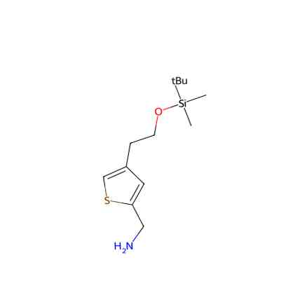 CC(C)(C)[Si](C)(C)OCCc1csc(CN)c1